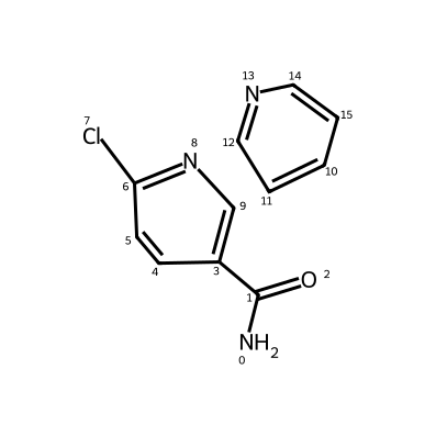 NC(=O)c1ccc(Cl)nc1.c1ccncc1